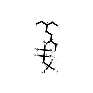 CCC(CC)CCC(CC)OC(F)(F)C(F)(F)CC(F)(F)F